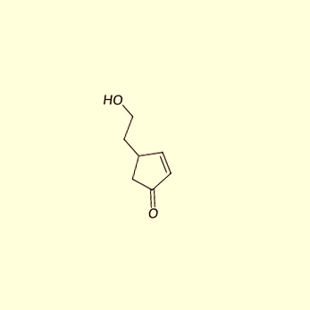 O=C1C=CC(CCO)C1